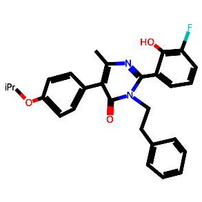 Cc1nc(-c2cccc(F)c2O)n(CCc2ccccc2)c(=O)c1-c1ccc(OC(C)C)cc1